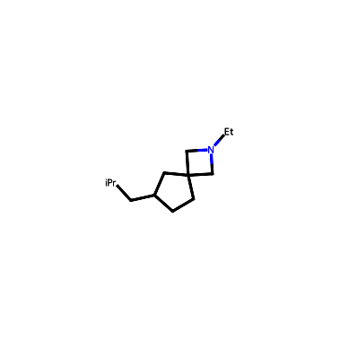 CCN1CC2(CCC(CC(C)C)C2)C1